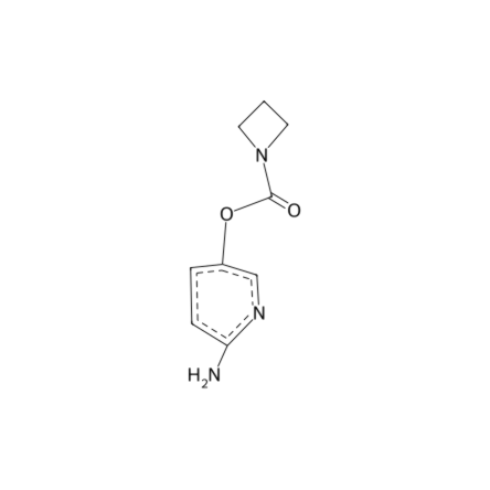 Nc1ccc(OC(=O)N2CCC2)cn1